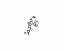 C[C@H](NC(=O)c1c2n(c(=O)n1-c1ccc(OC3COC3)cc1)CCN(C(=O)c1ccc(Br)c(Cl)c1)C2)c1ccccc1